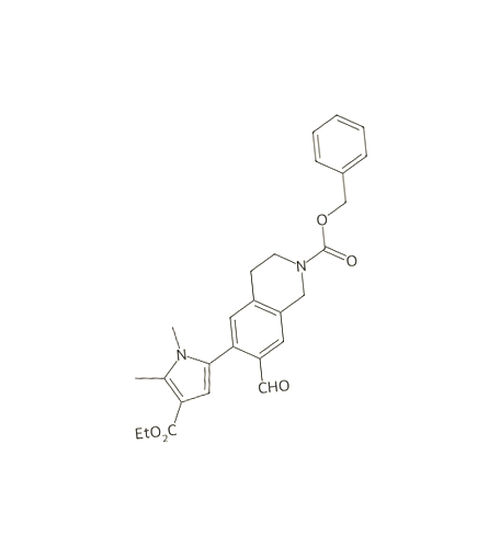 CCOC(=O)c1cc(-c2cc3c(cc2C=O)CN(C(=O)OCc2ccccc2)CC3)n(C)c1C